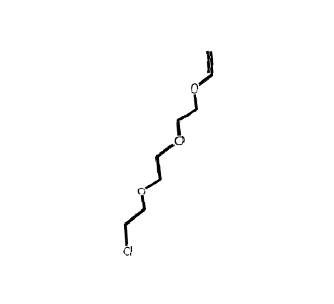 C=COCCOCCOCCCl